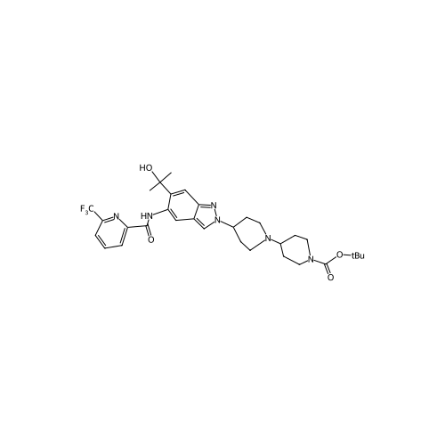 CC(C)(C)OC(=O)N1CCC(N2CCC(n3cc4cc(NC(=O)c5cccc(C(F)(F)F)n5)c(C(C)(C)O)cc4n3)CC2)CC1